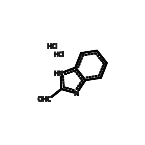 Cl.Cl.O=Cc1nc2ccccc2[nH]1